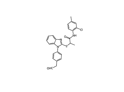 Cc1ccc(NC(=O)C(C)Sc2nc3ccccc3n2-c2ccc(CC=O)cc2)c(Cl)c1